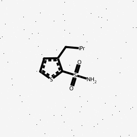 CC(C)Cc1ccsc1S(N)(=O)=O